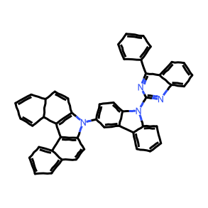 C1=CC2C=Cc3c(c4c5ccccc5ccc4n3-c3ccc4c(c3)c3ccccc3n4-c3nc(-c4ccccc4)c4ccccc4n3)C2C=C1